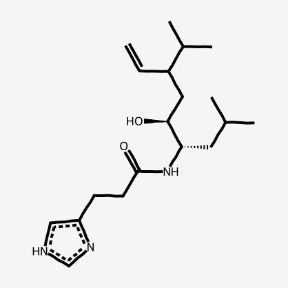 C=CC(C[C@H](O)[C@H](CC(C)C)NC(=O)CCc1c[nH]cn1)C(C)C